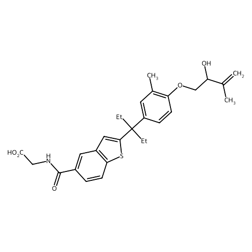 C=C(C)C(O)COc1ccc(C(CC)(CC)c2cc3cc(C(=O)NCC(=O)O)ccc3s2)cc1C